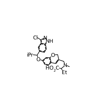 CCC(C(=O)O)N(C)CC1=Cc2ccc(OC(c3ccc4[nH]nc(Cl)c4c3)C(C)C)cc2OC1